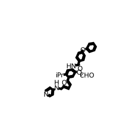 CC(C)c1cc(NC(=O)c2ccc(Oc3ccccc3)cc2)c(OC=O)cc1-c1ccc(CNc2ccncc2)o1